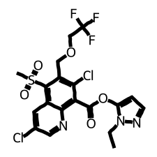 CCn1nccc1OC(=O)c1c(Cl)c(COCC(F)(F)F)c(S(C)(=O)=O)c2cc(Cl)cnc12